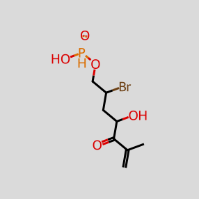 C=C(C)C(=O)C(O)CC(Br)CO[PH](=O)O